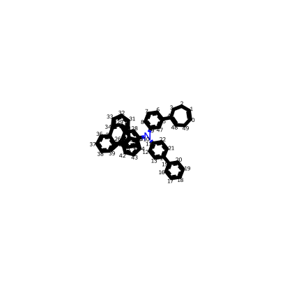 C1=CCCC(c2cccc(N(c3ccc(-c4ccccc4)cc3)c3ccc4c(c3)-c3c5cccc3-c3cccc-4c3-c3ccccc3-5)c2)=CC1